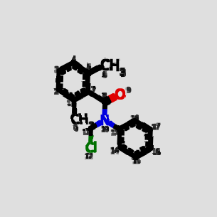 Cc1cccc(C)c1C(=O)N(CCl)c1ccccc1